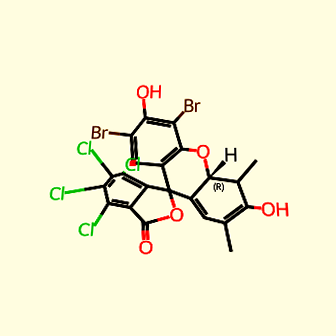 CC1=C(O)C(C)[C@H]2Oc3c(cc(Br)c(O)c3Br)C3(OC(=O)c4c(Cl)c(Cl)c(Cl)c(Cl)c43)C2=C1